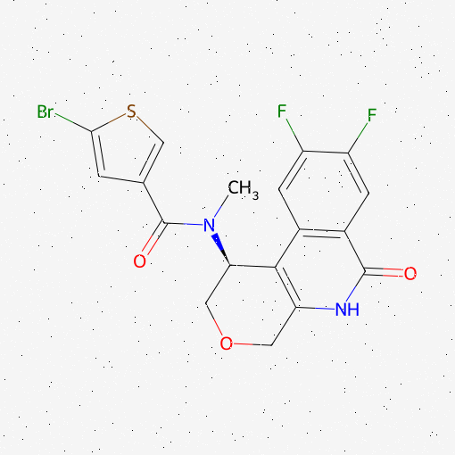 CN(C(=O)c1csc(Br)c1)[C@@H]1COCc2[nH]c(=O)c3cc(F)c(F)cc3c21